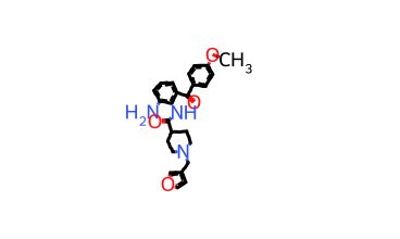 COc1ccc(C(=O)c2cccc(N)c2NC(=O)C2CCN(Cc3ccoc3)CC2)cc1